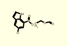 CCOC=O.O=[N+]([O-])c1cc(Cl)cc2cc[nH]c12